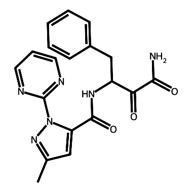 Cc1cc(C(=O)NC(Cc2ccccc2)C(=O)C(N)=O)n(-c2ncccn2)n1